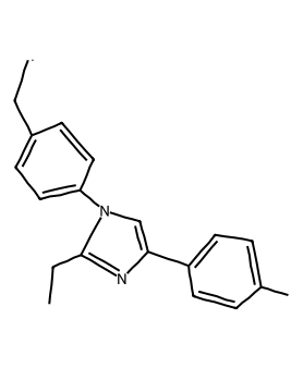 [CH2]Cc1ccc(-n2cc(-c3ccc(C)cc3)nc2CC)cc1